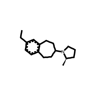 CCc1ccc2c(c1)CCC(N1CCC[C@H]1C)CC2